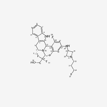 C[C@@H]1Cc2c([nH]c3ccccc23)C(c2c(F)cc(NC3CN(CCCF)C3)cc2F)N1CC(F)(F)CO